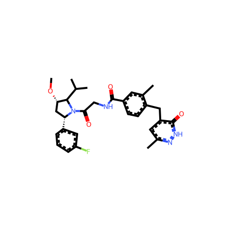 CO[C@H]1C[C@@H](c2cccc(F)c2)N(C(=O)CNC(=O)c2ccc(Cc3cc(C)n[nH]c3=O)c(C)c2)C1C(C)C